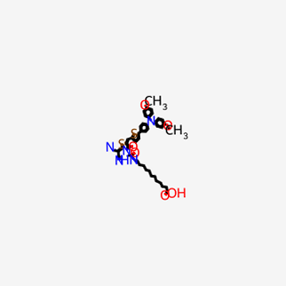 COc1ccc(N(c2ccc(OC)cc2)c2ccc(-c3ccc(/C=c4/sc(=C(C#N)C#N)n(CC(=O)NCCCCCCCCCCCC(=O)O)c4=O)s3)cc2)cc1